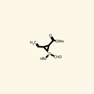 C=CC1CC1C(=O)OC.CCCCOC=O